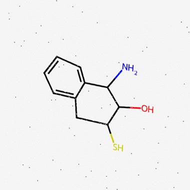 NC1c2ccccc2CC(S)C1O